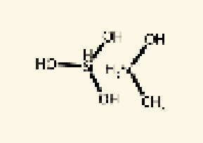 C[SiH2]O.O[SiH](O)O